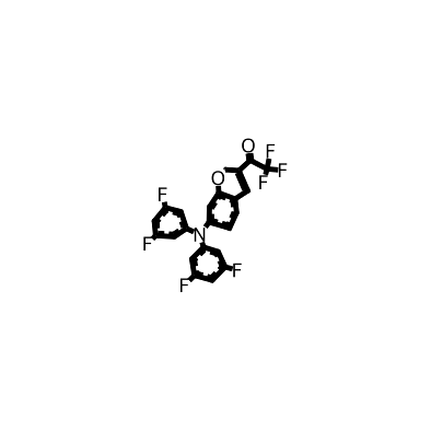 O=C(C1=Cc2ccc(N(c3cc(F)cc(F)c3)c3cc(F)cc(F)c3)cc2OC1)C(F)(F)F